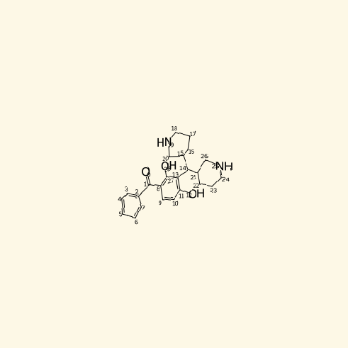 O=C(c1ccccc1)c1ccc(O)c(C(C2CCCNC2)C2CCCNC2)c1O